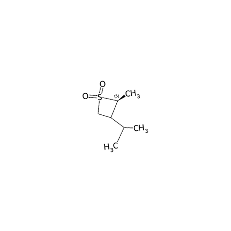 CC(C)C1CS(=O)(=O)[C@H]1C